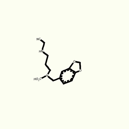 N#CCNCCCN(Cc1ccc2c(c1)OCO2)C(=O)O